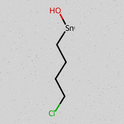 [OH][Sn][CH2]CCCCl